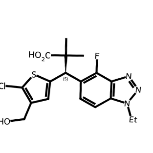 CCn1nnc2c(F)c([C@@H](c3cc(CO)c(Cl)s3)C(C)(C)C(=O)O)ccc21